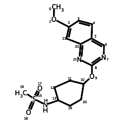 COc1ccc2cnc(OC3CCC(NS(C)(=O)=O)CC3)nc2c1